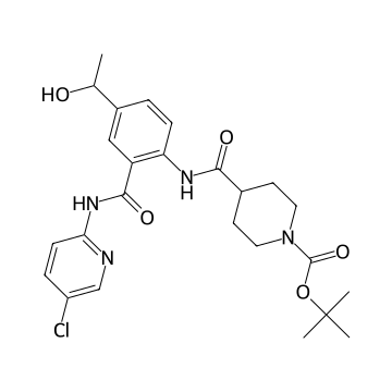 CC(O)c1ccc(NC(=O)C2CCN(C(=O)OC(C)(C)C)CC2)c(C(=O)Nc2ccc(Cl)cn2)c1